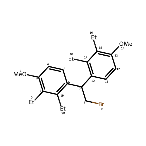 CCc1c(OC)ccc(C(CBr)c2ccc(OC)c(CC)c2CC)c1CC